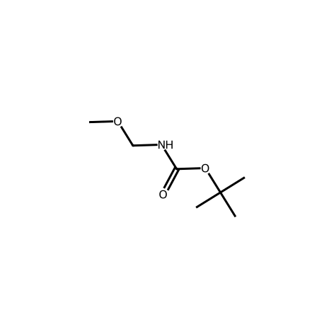 COCNC(=O)OC(C)(C)C